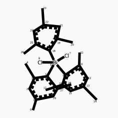 Cc1cc(C)[c]([Bi]([Cl])([Cl])([c]2c(C)cc(C)cc2C)[c]2c(C)cc(C)cc2C)c(C)c1